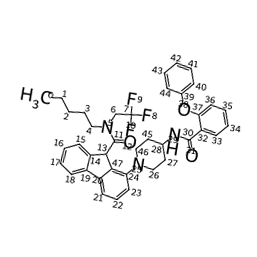 CCCCCN(CC(F)(F)F)C(=O)C1c2ccccc2-c2cccc(N3CCC(NC(=O)c4ccccc4Oc4ccccc4)CC3)c21